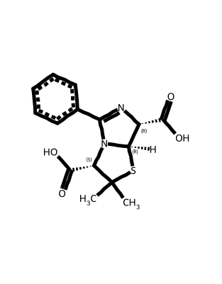 CC1(C)S[C@@H]2[C@@H](C(=O)O)N=C(c3ccccc3)N2[C@H]1C(=O)O